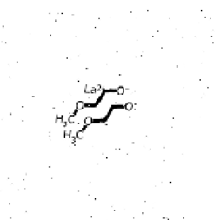 COCC[O-].COCC[O-].[La+2]